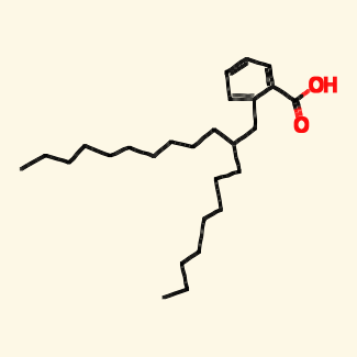 CCCCCCCCCCC(CCCCCCCC)Cc1ccccc1C(=O)O